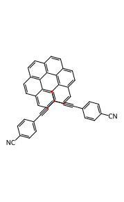 N#Cc1ccc(C#Cc2ccc3ccc4ccc5ccc6ccc7ccc(C#Cc8ccc(C#N)cc8)cc7c6c5c4c3c2)cc1